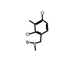 Cc1c(Cl)ccc(CN(C)Br)c1Cl